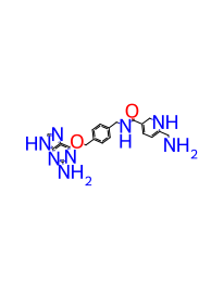 NCC1=CC=C(C(=O)NCc2ccc(COc3nc(N)nc4[nH]cnc34)cc2)CN1